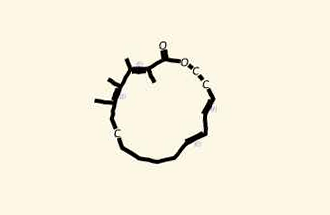 C/C1=C(C)/C(C)=C(\C)C(=O)OCC/C=C/C=C/CCCCCC1